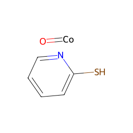 Sc1ccccn1.[O]=[Co]